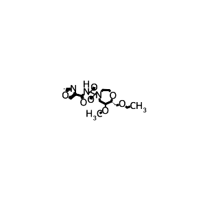 CCOC[C@H]1OCCN(S(=O)(=O)NC(=O)c2co[c]n2)C[C@@H]1OC